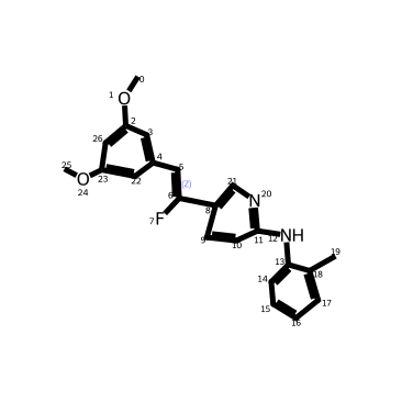 COc1cc(/C=C(\F)c2ccc(Nc3ccccc3C)nc2)cc(OC)c1